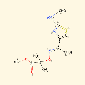 CC(C)(C)OC(=O)C(C)(C)O/N=C(\C(=O)O)c1csc(NC=O)n1